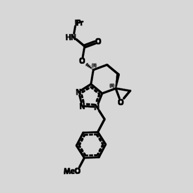 COc1ccc(Cn2nnc3c2[C@]2(CC[C@H]3OC(=O)NC(C)C)CO2)cc1